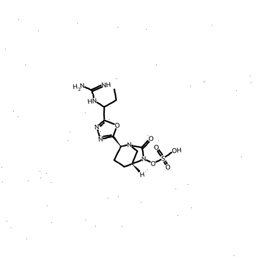 CCC(NC(=N)N)c1nnc([C@@H]2CC[C@@H]3CN2C(=O)N3OS(=O)(=O)O)o1